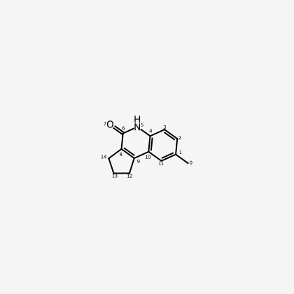 Cc1ccc2[nH]c(=O)c3c(c2c1)CCC3